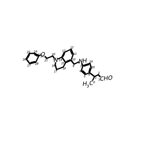 CC(CC=O)c1ccc(NCc2cccc3c2CCCN3CCOc2ccccc2)cc1